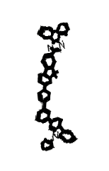 CC1(C)c2cc(-c3ccc(-c4cccc(-c5ccc6c7ccccc7n(-c7ccccc7)c6c5)c4)cc3)ccc2-c2ccc(-c3cnc4c5ccccc5c5ccccc5c4n3)cc21